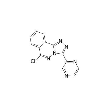 Clc1nn2c(-c3cnccn3)nnc2c2ccccc12